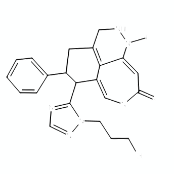 O=C1C=C2C3=C(CNN2F)CC(c2ccccc2)C(c2ncnn2CCCO)C3=CN1